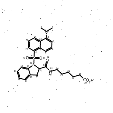 CN(C)c1cccc2c(S(=O)(=O)N3c4ccccc4CC3C(=O)NCCCCCC(=O)O)cccc12